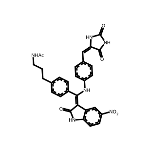 CC(=O)NCCCc1ccc(C(Nc2ccc(C=C3NC(=O)NC3=O)cc2)=C2C(=O)Nc3ccc([N+](=O)[O-])cc32)cc1